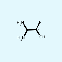 C[C@@H](O)C(N)N